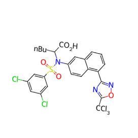 CCCCC(C(=O)O)N(c1ccc2c(-c3noc(C(Cl)(Cl)Cl)n3)cccc2c1)S(=O)(=O)c1cc(Cl)cc(Cl)c1